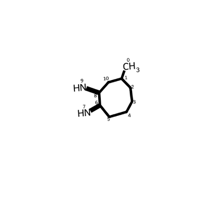 CC1CCCCC(=N)C(=N)C1